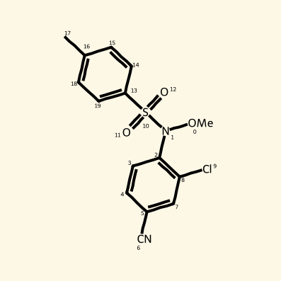 CON(c1ccc(C#N)cc1Cl)S(=O)(=O)c1ccc(C)cc1